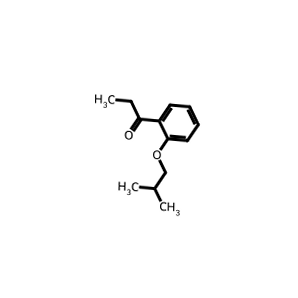 CCC(=O)c1ccccc1OCC(C)C